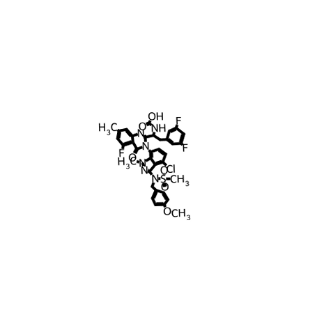 COc1ccc(CN(c2nn(C)c3c(-n4c(C(Cc5cc(F)cc(F)c5)NC(=O)O)nc5cc(C)cc(F)c5c4=O)ccc(Cl)c23)S(C)(=O)=O)cc1